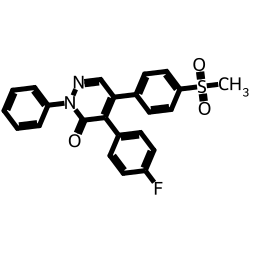 CS(=O)(=O)c1ccc(-c2cnn(-c3ccccc3)c(=O)c2-c2ccc(F)cc2)cc1